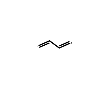 [C]=CC=[C]